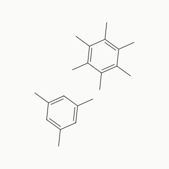 Cc1c(C)c(C)c(C)c(C)c1C.Cc1cc(C)cc(C)c1